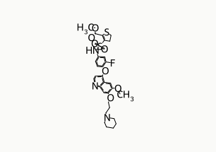 COC(=O)C1=C(S(=O)(=O)Nc2ccc(Oc3ccnc4cc(OCCCN5CCCCC5)c(OC)cc34)c(F)c2)CCS1